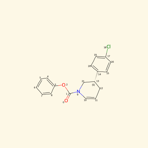 O=C(Oc1ccccc1)N1C=CC[C@@H](c2ccc(Cl)cc2)C1